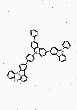 c1ccc(-c2ccc3c(c2)c2cc(-c4ccc5c(c4)c4ccccc4n5-c4ccccc4)ccc2n3-c2ccc(-c3ccc4c(c3)c3cccc5c3n4-c3ccccc3O5)cc2)cc1